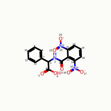 O=C(NC(C(=O)O)c1ccccc1)c1c([N+](=O)[O-])cccc1[N+](=O)[O-]